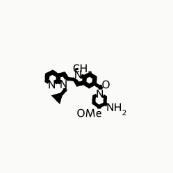 COC1CCN(C(=O)c2ccc3c(c2)cc(-c2cc4cccnc4n2CC2CC2)n3C)CC1N